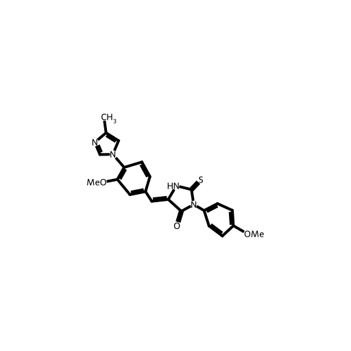 COc1ccc(N2C(=O)C(=Cc3ccc(-n4cnc(C)c4)c(OC)c3)NC2=S)cc1